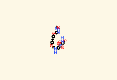 Cc1nc(-c2cc(Oc3ccc(C(C)(C)c4ccc(O[C@H]5C[C@@H](Nc6ccc7c(c6)C(=O)N(C6CCC(=O)NC6=O)C7=O)C5)cc4)cc3)ccn2)no1